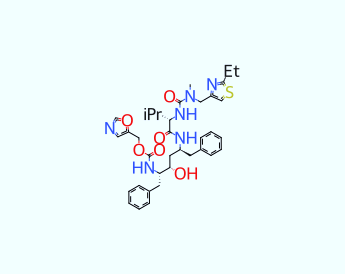 CCc1nc(CN(C)C(=O)N[C@H](C(=O)N[C@@H](Cc2ccccc2)C[C@H](O)[C@H](Cc2ccccc2)NC(=O)OCc2cnco2)C(C)C)cs1